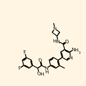 Cc1cc(NC(=O)C(O)c2cc(F)cc(F)c2)ccc1-c1cnc(N)c(C(=O)NC2CN(C)C2)c1